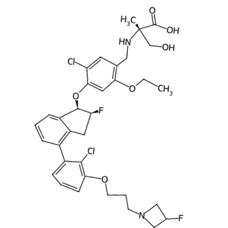 CCOc1cc(O[C@@H]2c3cccc(-c4cccc(OCCCN5CC(F)C5)c4Cl)c3C[C@@H]2F)c(Cl)cc1CN[C@@](C)(CO)C(=O)O